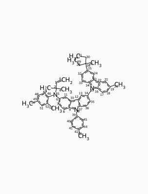 C=CC(C)(C)N(c1ccc2c(c1)c1cc(-n3c4ccc(C)cc4c4cc(C(C)(CC)CC)ccc43)ccc1n2-c1ccc(C)cc1)c1ccc(C)cc1C